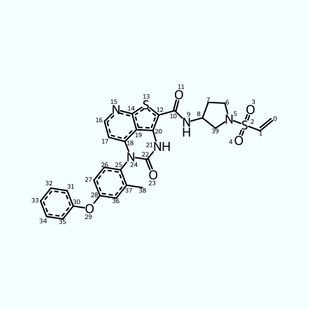 C=CS(=O)(=O)N1CCC(NC(=O)c2sc3nccc4c3c2NC(=O)N4c2ccc(Oc3ccccc3)cc2C)C1